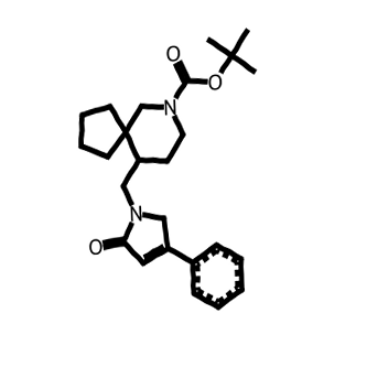 CC(C)(C)OC(=O)N1CCC(CN2CC(c3ccccc3)=CC2=O)C2(CCCC2)C1